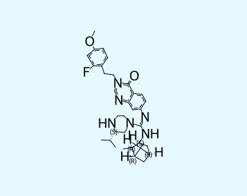 COc1ccc(CCn2cnc3cc(N=C(N[C@H]4C[C@H]5C[C@H]([C@H]4C)C5(C)C)N4CCN[C@@H](C(C)C)C4)ccc3c2=O)c(F)c1